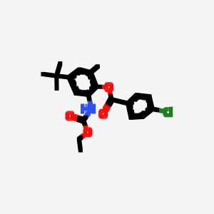 CCOC(=O)Nc1cc(C(C)(C)C)cc(C)c1OC(=O)c1ccc(Cl)cc1